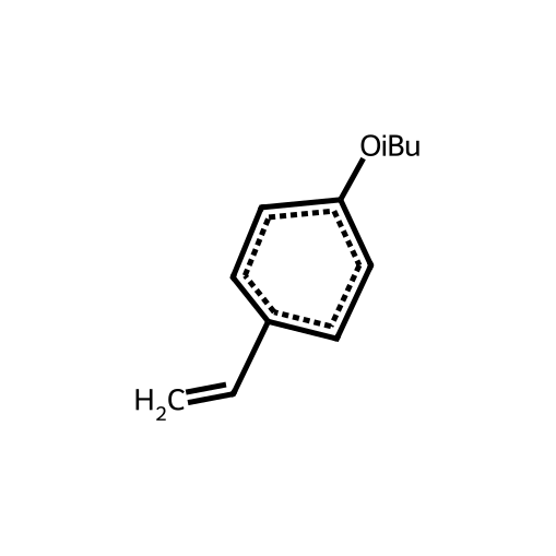 C=Cc1ccc(OCC(C)C)cc1